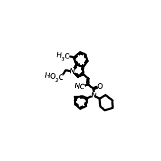 Cc1cccc2c(/C=C(\C#N)C(=O)N(c3ccccc3)C3CCCCC3)cn(CC(=O)O)c12